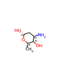 C[C@H]1O[C@H](O)C[C@@H](N)[C@H]1O